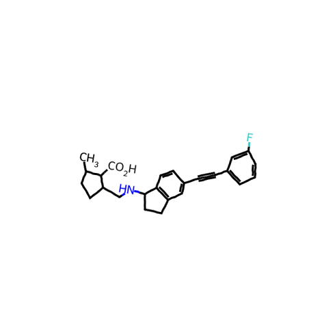 CC1CCC(CNC2CCc3cc(C#Cc4cccc(F)c4)ccc32)C1C(=O)O